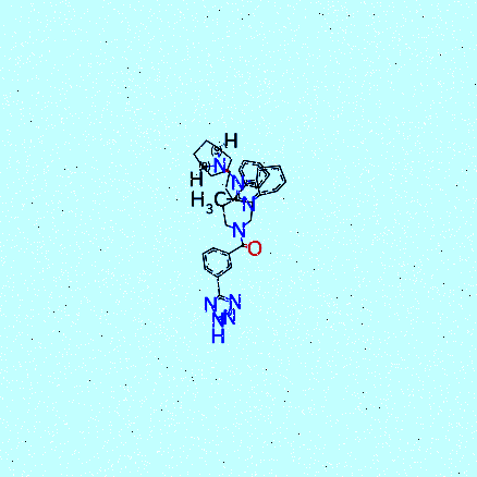 Cc1nc2ccccc2n1C1C[C@H]2CC[C@@H](C1)N2CCC1(c2ccccc2)CCN(C(=O)c2cccc(-c3nn[nH]n3)c2)CC1